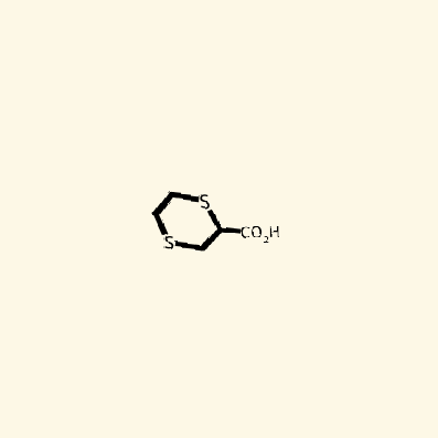 O=C(O)[C]1CSCCS1